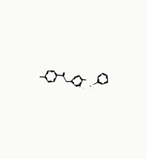 COP(=O)(Oc1ccc(CC(=O)c2ccc(C)cc2)cc1)c1ccccc1